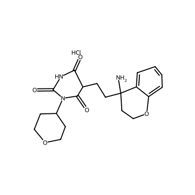 Cl.NC1(CCC2C(=O)NC(=O)N(C3CCOCC3)C2=O)CCOc2ccccc21